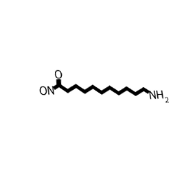 NCCCCCCCCCCC(=O)N=O